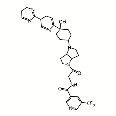 O=C(NCC(=O)N1CCC2C1CCN2C1CCC(O)(C2=CCC(C3=NCCC=N3)C=N2)CC1)c1cncc(C(F)(F)F)c1